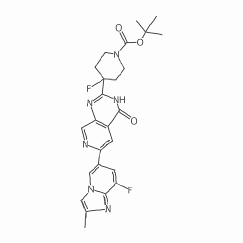 Cc1cn2cc(-c3cc4c(=O)[nH]c(C5(F)CCN(C(=O)OC(C)(C)C)CC5)nc4cn3)cc(F)c2n1